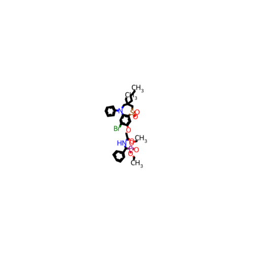 CCCCC1(CC)CN(c2ccccc2)c2cc(Br)c(OCC(=O)NC(c3ccccc3)P(=O)(OCC)OCC)cc2S(=O)(=O)C1